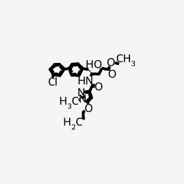 C=CCOc1cc(C(=O)N[C@H](Cc2ccc(-c3cccc(Cl)c3)cc2)CC(O)C(=O)OCC)nn1C